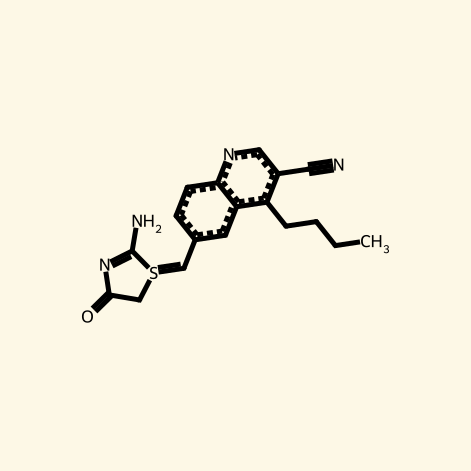 CCCCc1c(C#N)cnc2ccc(/C=S3/CC(=O)N=C3N)cc12